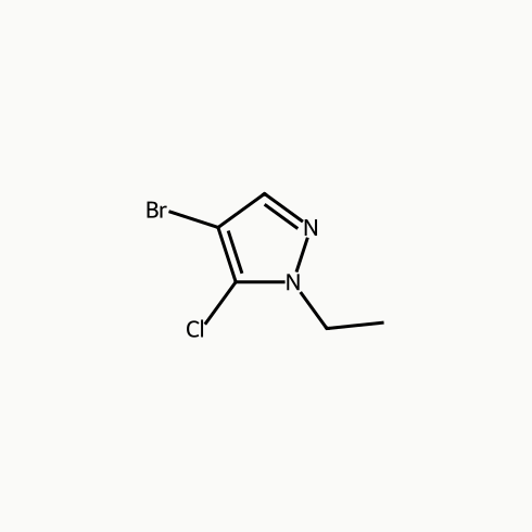 CCn1ncc(Br)c1Cl